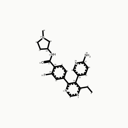 CCc1ncnc(-c2ccc(C(=O)NC3CCN(C)C3)c(F)c2)c1-c1ccc(N)nc1